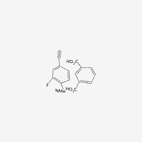 C#Cc1ccc(NC)c(F)c1.O=C(O)c1cccc(C(=O)O)c1